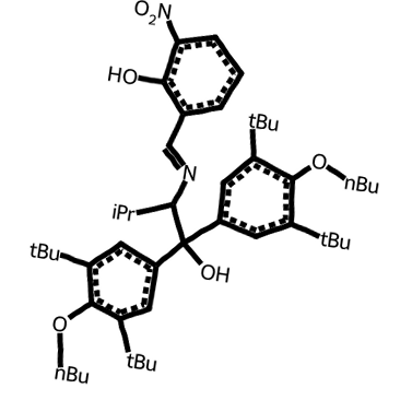 CCCCOc1c(C(C)(C)C)cc(C(O)(c2cc(C(C)(C)C)c(OCCCC)c(C(C)(C)C)c2)C(N=Cc2cccc([N+](=O)[O-])c2O)C(C)C)cc1C(C)(C)C